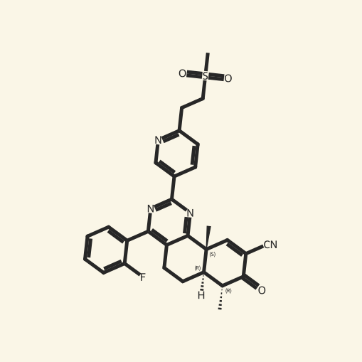 C[C@H]1C(=O)C(C#N)=C[C@@]2(C)c3nc(-c4ccc(CCS(C)(=O)=O)nc4)nc(-c4ccccc4F)c3CC[C@H]12